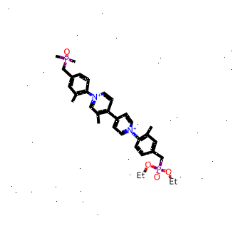 CCOP(=O)(Cc1ccc(-[n+]2ccc(-c3cc[n+](-c4ccc(CP(C)(C)=O)cc4C)cc3C)cc2)c(C)c1)OCC